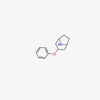 c1ccc(OC2CC3CCC(C2)N3)cc1